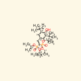 CCOP(=O)(OCC)C(=Cc1cc(C(C)(C)C)c(O)c(C(C)(C)C)c1)P(=O)(OC(C)C)OC(C)C